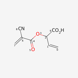 C=CC(OC(=O)C(=C)C#N)C(=O)O